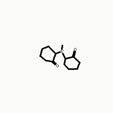 C[S+](C1CCCCC1=O)C1CCCCC1=O